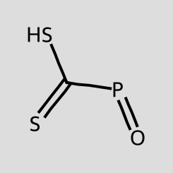 O=PC(=S)S